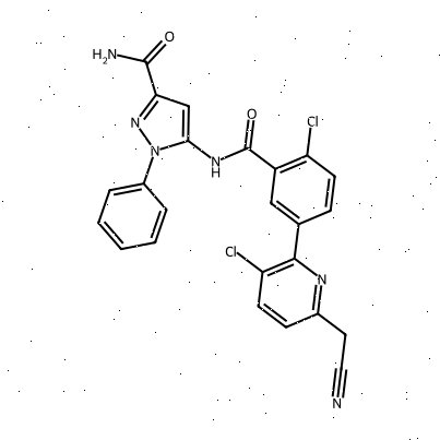 N#CCc1ccc(Cl)c(-c2ccc(Cl)c(C(=O)Nc3cc(C(N)=O)nn3-c3ccccc3)c2)n1